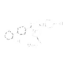 CON=C1C[C@@H](C(=O)N2CCC(O)CC2)N(C(=O)c2ccc(-c3ccccc3C)cc2)C1